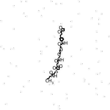 CCCCNC(=O)CCSC1CC(=O)N(CCC(=O)NCCOCCOCCC(=O)Nc2ccc(CCC(=O)N3CCC3=O)cc2)C1=O